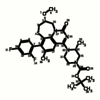 CO[C@H]1CSc2c(-c3ccc(F)cc3F)c(C)cc3c(N4CCN(C(=O)OC(C)(C)C)C[C@@H]4C)nc(=O)n(c23)C1